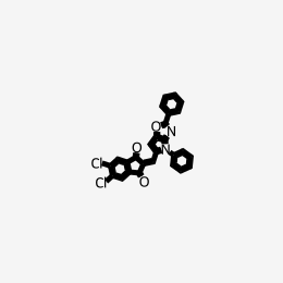 O=C1C(=Cc2cc3oc(-c4ccccc4)nc3n2-c2ccccc2)C(=O)c2cc(Cl)c(Cl)cc21